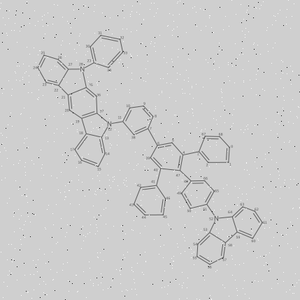 c1ccc(-c2cc(-c3cccc(-n4c5ccccc5c5cc6c7ccccc7n(-c7ccccc7)c6cc54)c3)cc(-c3ccccc3)c2-c2ccc(-n3c4ccccc4c4ccccc43)cc2)cc1